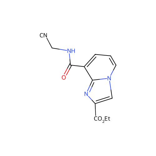 [C-]#[N+]CNC(=O)c1cccn2cc(C(=O)OCC)nc12